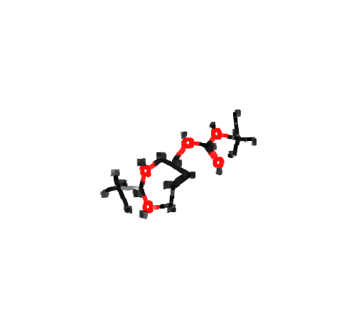 CC(C)(C)OC(=O)OC1/C=C/CO[C@H](C(C)(C)C)OC1